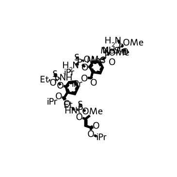 CCNP(=S)(OC)O/C(C)=C/C(=O)OC(C)C.CCOP(=S)(NC(C)C)Oc1ccccc1C(=O)OC(C)C.COP(=O)(NC(C)=O)SC.COP(N)(=O)SC.COP(N)(=S)Oc1ccccc1C(=O)OC(C)C